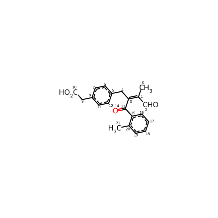 C/C(C=O)=C(\Cc1ccc(CC(=O)O)cc1)C(=O)c1ccccc1C